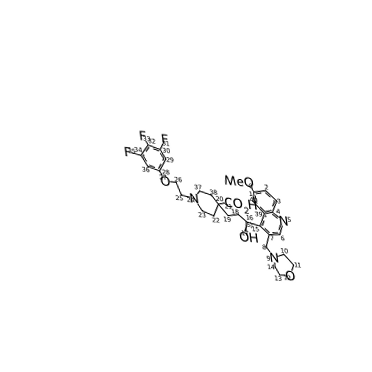 COc1ccc2ncc(CN3CCOCC3)c([C@@H](O)CCC3(C(=O)O)CCN(CCOc4cc(F)c(F)c(F)c4)CC3)c2c1